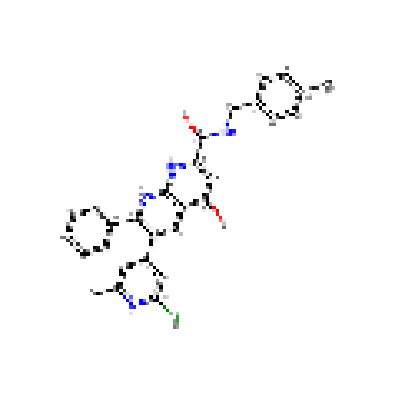 Cc1cc(-c2cc3c(=O)cc(C(=O)NCc4ccc(C#N)cc4)[nH]c3nc2-c2ccccc2)cc(Cl)n1